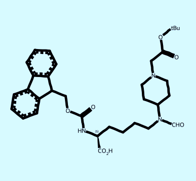 CC(C)(C)OC(=O)CN1CCC(N(C=O)CCCC[C@H](NC(=O)OCC2c3ccccc3-c3ccccc32)C(=O)O)CC1